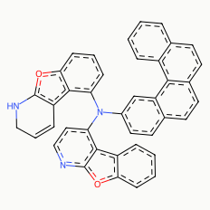 C1=Cc2c(oc3cccc(N(c4ccc5ccc6ccc7ccccc7c6c5c4)c4ccnc5oc6ccccc6c45)c23)NC1